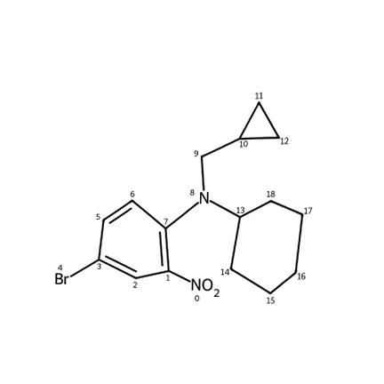 O=[N+]([O-])c1cc(Br)ccc1N(CC1CC1)C1CCCCC1